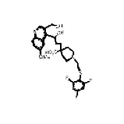 COc1ccc2ncc(CO)c([C@@H](O)CCC3(C(=O)O)CCN(CCSc4c(F)cc(F)cc4F)CC3)c2c1